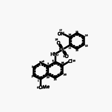 COc1ccnc2c(NS(=O)(=O)c3ccccc3N=O)c(Cl)ccc12